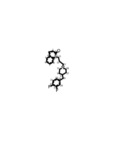 O=c1ccc2ccccc2n1CCCN1CCC(Cc2ccc(F)c(F)c2)CC1